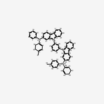 CC1=CC=C(N(c2ccccc2)c2ccc3c4ccccc4n(-c4cccc(-n5c6ccccc6c6ccc(N(C7=CCCC=C7)c7ccc(C)cc7)cc65)c4)c3c2)CC1